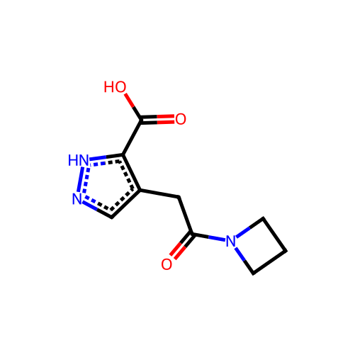 O=C(O)c1[nH]ncc1CC(=O)N1CCC1